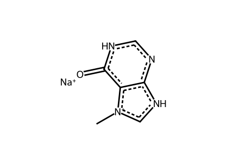 C[n+]1c[nH]c2nc[nH]c(=O)c21.[Na+]